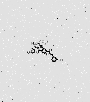 C[C@H](NN(C(=O)c1ccc(C(=O)NCc2cccc(O)c2)cc1Cl)C(=O)[C@@H]1CCC(=O)O1)C(=O)O